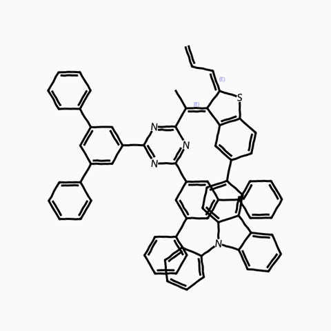 C=C/C=c1/sc2ccc(-c3ccc4c(c3)c3ccccc3n4-c3ccccc3)cc2/c1=C(/C)c1nc(-c2cc(-c3ccccc3)cc(-c3ccccc3)c2)nc(-c2cc(-c3ccccc3)cc(-c3ccccc3)c2)n1